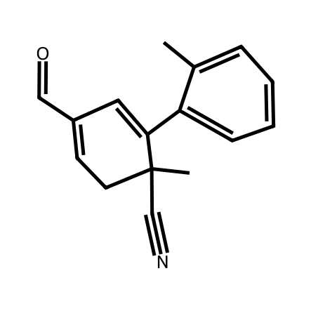 Cc1ccccc1C1=CC(C=O)=CCC1(C)C#N